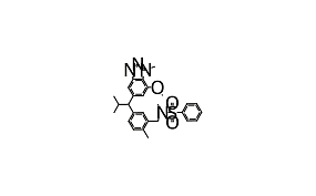 COc1cc(C(c2ccc(C)c(CN(C)S(=O)(=O)c3ccccc3)c2)C(C)C)cc2nnn(C)c12